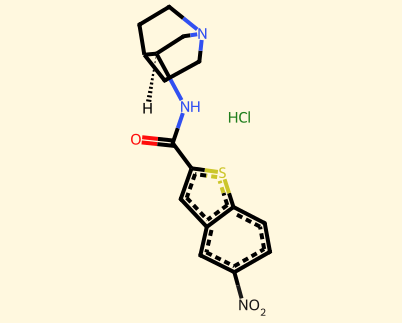 Cl.O=C(N[C@@H]1CN2CCC1CC2)c1cc2cc([N+](=O)[O-])ccc2s1